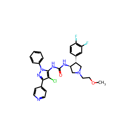 COCCN1C[C@@H](NC(=O)Nc2c(Cl)c(-c3ccncc3)nn2-c2ccccc2)[C@H](c2ccc(F)c(F)c2)C1